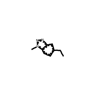 CCc1ccc2c(c1)nnn2C